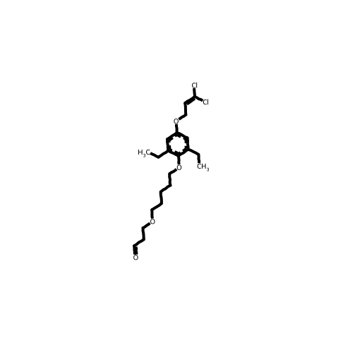 CCc1cc(OCC=C(Cl)Cl)cc(CC)c1OCCCCCOCCC=O